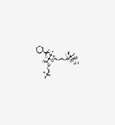 O=C(OC(OCCCCC(F)(F)C(F)(F)S(=O)(=O)O)(C(=O)OCCC(F)(F)F)C(F)(F)F)C1CCCCC1